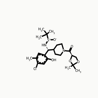 Cc1cc([C@H](N[S+]([O-])C(C)(C)C)C2CCN(C(=O)[C@H]3COC(C)(C)O3)CC2)c(O)cc1Cl